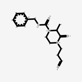 CC1C(=O)N(CCC=O)CCN1C(=O)OCc1ccccc1